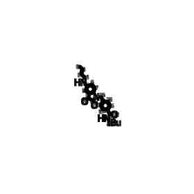 C/C=C/CNc1ccc2c(c1)C(=O)C(=O)N2Cc1ccc(C(=O)NC(C)(C)C)cc1